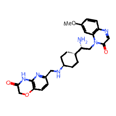 COc1ccc2ncc(=O)n(C[C@@H](N)[C@H]3CC[C@H](NCc4ccc5c(n4)NC(=O)CO5)CC3)c2c1